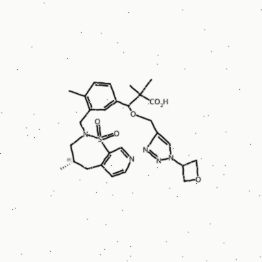 Cc1ccc(C(OCc2cn(C3COC3)nn2)C(C)(C)C(=O)O)cc1CN1C[C@@H](C)Cc2ccncc2S1(=O)=O